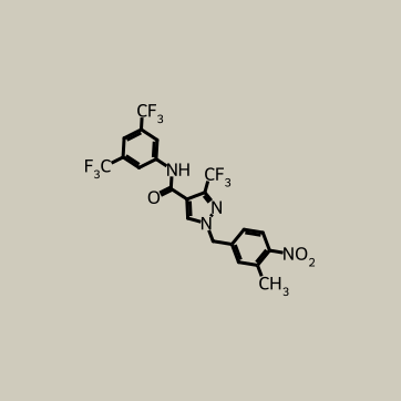 Cc1cc(Cn2cc(C(=O)Nc3cc(C(F)(F)F)cc(C(F)(F)F)c3)c(C(F)(F)F)n2)ccc1[N+](=O)[O-]